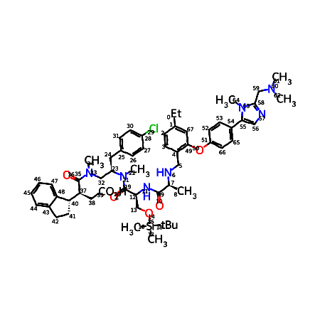 CCc1ccc(CN[C@@H](C)C(=O)N[C@@H](CO[Si](C)(C)C(C)(C)C)C(=O)N(C)[C@H](Cc2ccc(Cl)cc2)CN(C)C(=O)[C@@H](CC(=O)O)[C@@H]2CCc3ccccc32)c(Oc2ccc(-c3cnc(CN(C)C)n3C)cc2)c1